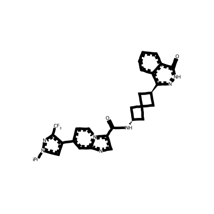 CC(C)n1cc(-c2ccn3c(C(=O)N[C@H]4CC5(C4)C[C@H](c4n[nH]c(=O)c6ccccc64)C5)cnc3c2)c(C(F)(F)F)n1